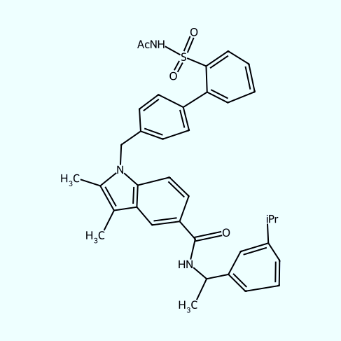 CC(=O)NS(=O)(=O)c1ccccc1-c1ccc(Cn2c(C)c(C)c3cc(C(=O)NC(C)c4cccc(C(C)C)c4)ccc32)cc1